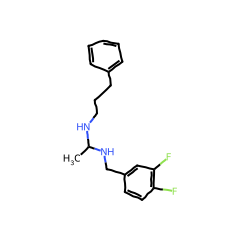 CC(NCCCc1ccccc1)NCc1ccc(F)c(F)c1